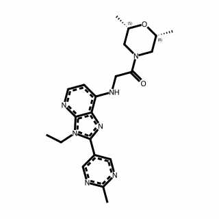 CCn1c(-c2cnc(C)nc2)nc2c(NCC(=O)N3C[C@@H](C)O[C@@H](C)C3)ccnc21